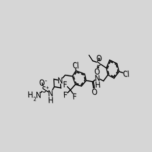 CCS(=O)(=O)c1ccc(Cl)cc1CNC(=O)c1cc(Cl)c(CN2CC(N[S+](N)[O-])C2)c(C(F)(F)F)c1